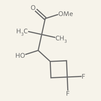 COC(=O)C(C)(C)C(O)C1CC(F)(F)C1